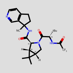 CC(C)(C)[C@H](NC(=O)C(F)(F)F)C(=O)N1C[C@H]2[C@@H]([C@H]1C(=O)NC1(C#N)CCc3ccncc31)C2(C)C